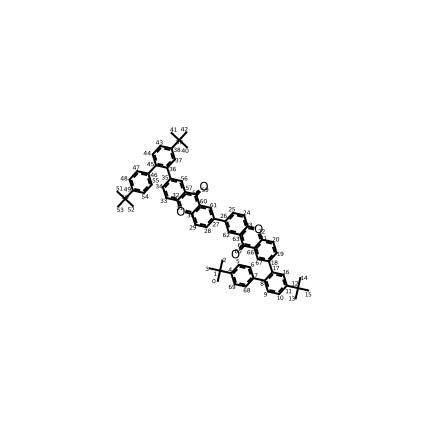 CC(C)(C)c1ccc(-c2ccc(C(C)(C)C)cc2-c2ccc3oc4ccc(-c5ccc6oc7ccc(-c8cc(C(C)(C)C)ccc8-c8ccc(C(C)(C)C)cc8)cc7c(=O)c6c5)cc4c(=O)c3c2)cc1